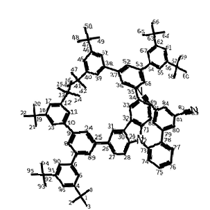 CC(C)(C)c1cc(-c2cc(-c3cc(C(C)(C)C)cc(C(C)(C)C)c3)cc(-c3ccc4c(c3)c3cc(-c5cc(-c6cc(C(C)(C)C)cc(C(C)(C)C)c6)cc(-c6cc(C(C)(C)C)cc(C(C)(C)C)c6)c5)ccc3n4-c3ccccc3-c3cc(C#N)cc(C#N)c3)c2)cc(C(C)(C)C)c1